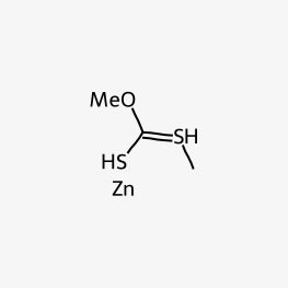 COC(S)=[SH]C.[Zn]